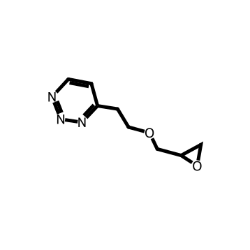 c1cc(CCOCC2CO2)nnn1